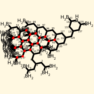 BC(B)CC(CC(B)B)CC(CC(CC(B)B)CC(B)B)CC(CC(CC(CC(B)B)CC(B)B)CC(CC(B)B)CC(B)B)CC(CC(CC(CC(CC(B)B)CC(B)B)CC(CC(B)B)CC(B)B)CC(CC(CC(B)B)CC(B)B)CC(CC(B)B)CC(B)B)CC(CC(CC(CC(B)B)CC(B)B)CC(CC(B)B)CC(B)C)CC(CC(CC(B)B)CC(B)B)CC1CC(B)BC(B)C1